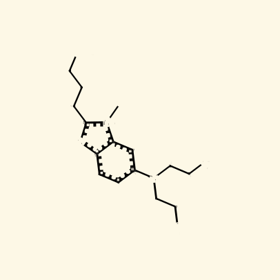 CCOC(=O)CCCc1nc2ccc(N(CCO)CCO)cc2n1C